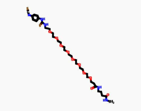 BNC(=O)CCCNC(=O)CCOCCOCCOCCOCCOCCOCCOCCOCCNC(=S)Nc1ccc(N=C=S)cc1